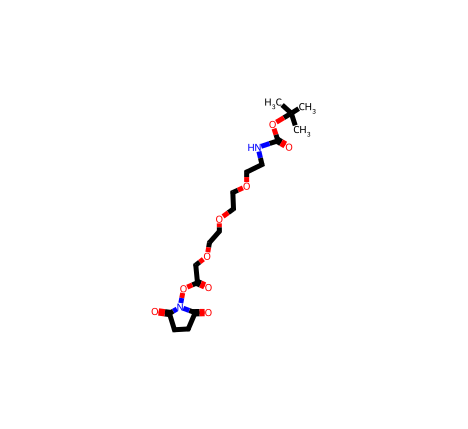 CC(C)(C)OC(=O)NCCOCCOCCOCC(=O)ON1C(=O)CCC1=O